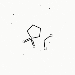 ClCCl.O=S1(=O)CCCC1